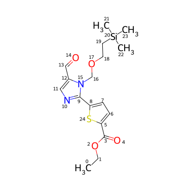 CCOC(=O)c1ccc(-c2ncc(C=O)n2COCC[Si](C)(C)C)s1